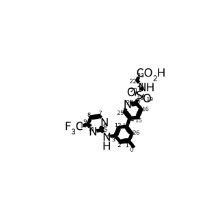 Cc1cc(Nc2nccc(C(F)(F)F)n2)cc(-c2ccc(S(=O)(=O)NCC(=O)O)nc2)c1